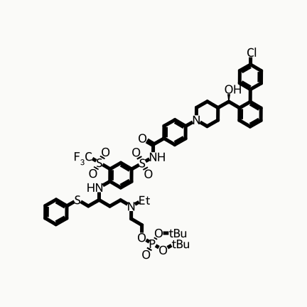 CCN(CCOP(=O)(OC(C)(C)C)OC(C)(C)C)CCC(CSc1ccccc1)Nc1ccc(S(=O)(=O)NC(=O)c2ccc(N3CCC([C@@H](O)c4ccccc4-c4ccc(Cl)cc4)CC3)cc2)cc1S(=O)(=O)C(F)(F)F